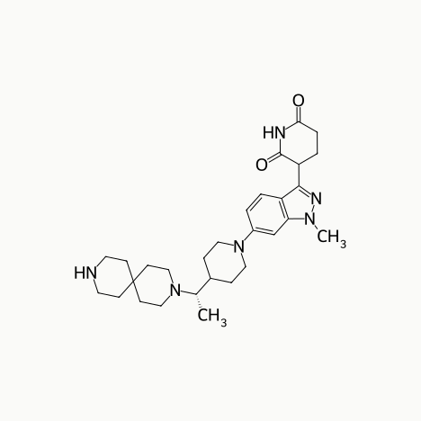 C[C@@H](C1CCN(c2ccc3c(C4CCC(=O)NC4=O)nn(C)c3c2)CC1)N1CCC2(CCNCC2)CC1